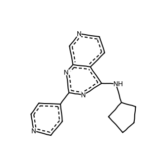 c1cc(-c2nc(NC3CCCC3)c3ccncc3n2)ccn1